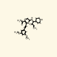 C=CC(=O)C(Nc1cnc(C(N)=O)c(C#Cc2cc(OC)cc(OC)c2)n1)C1CCNCC1